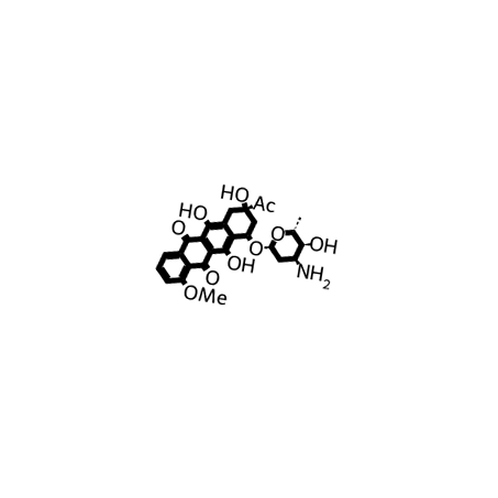 COc1cccc2c1C(=O)c1c(O)c3c(c(O)c1C2=O)C[C@@](O)(C(C)=O)CC3O[C@H]1C[C@H](N)[C@@H](O)[C@@H](C)O1